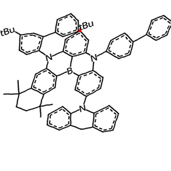 CC(C)(C)c1ccc(N2c3cc4c(cc3B3c5cc(N6c7ccccc7Cc7ccccc76)ccc5N(c5ccc(-c6ccccc6)cc5)c5cc(C(C)(C)C)cc2c53)C(C)(C)CCC4(C)C)c(-c2ccccc2)c1